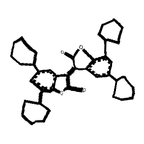 O=C1Oc2c(cc(C3CCCCC3)cc2C2CCCCC2)C1=C1C(=O)Oc2c1cc(C1CCCCC1)cc2C1CCCCC1